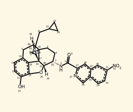 O=C(N[C@H]1CC[C@@]2(O)[C@H]3Cc4ccc(O)c5c4[C@@]2(CCN3CC2CC2)[C@H]1O5)c1cc2cc([N+](=O)[O-])ccc2cn1